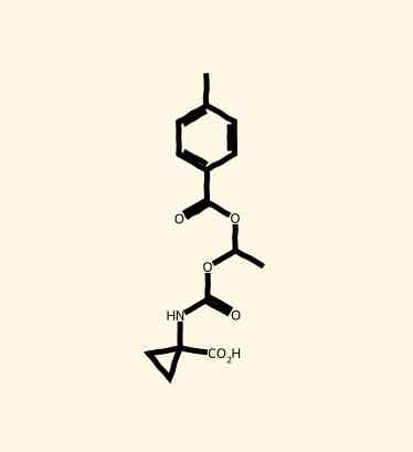 Cc1ccc(C(=O)OC(C)OC(=O)NC2(C(=O)O)CC2)cc1